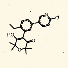 CCc1ccc(-c2ccc(Cl)nc2)cc1C1=C(O)C(C)(C)OC(C)(C)C1=O